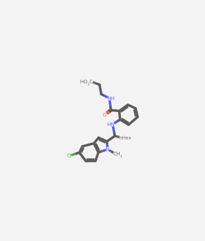 CCCCCCC(Nc1ccccc1C(=O)NCCC(=O)O)c1cc2cc(Cl)ccc2n1C